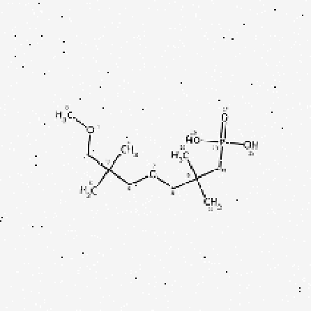 COCC(C)(C)COCC(C)(C)CP(=O)(O)O